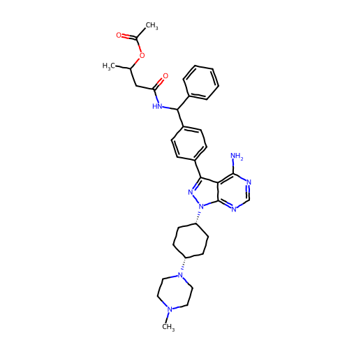 CC(=O)OC(C)CC(=O)NC(c1ccccc1)c1ccc(-c2nn([C@H]3CC[C@@H](N4CCN(C)CC4)CC3)c3ncnc(N)c23)cc1